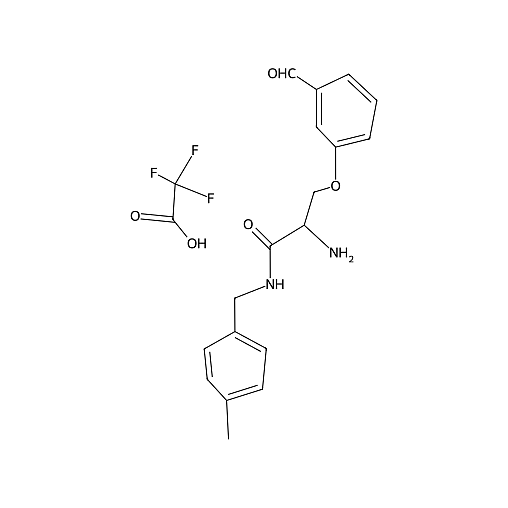 Cc1ccc(CNC(=O)C(N)COc2cccc(C=O)c2)cc1.O=C(O)C(F)(F)F